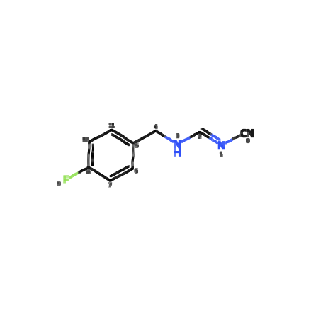 N#CN=CNCc1ccc(F)cc1